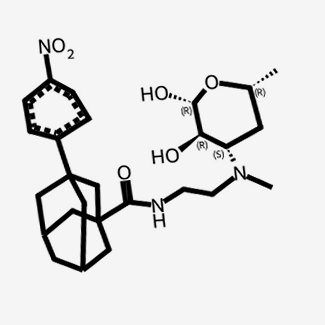 C[C@@H]1C[C@H](N(C)CCNC(=O)C23CC4CC(C2)CC(c2ccc([N+](=O)[O-])cc2)(C4)C3)[C@@H](O)[C@H](O)O1